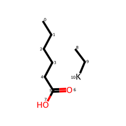 CCCCCC(=O)O.C[CH2][K]